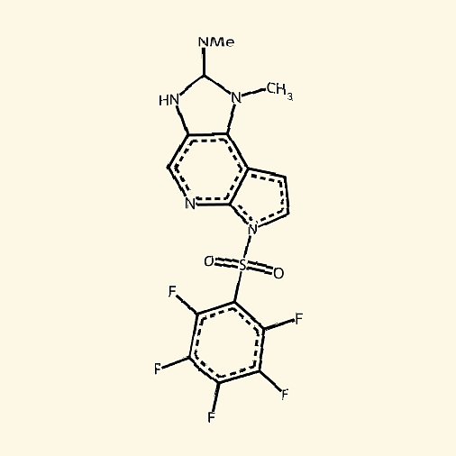 CNC1Nc2cnc3c(ccn3S(=O)(=O)c3c(F)c(F)c(F)c(F)c3F)c2N1C